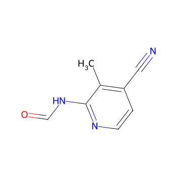 Cc1c(C#N)ccnc1NC=O